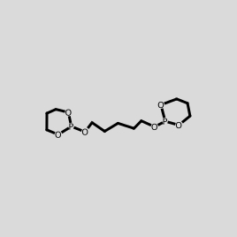 C(CCOP1OCCCO1)CCOP1OCCCO1